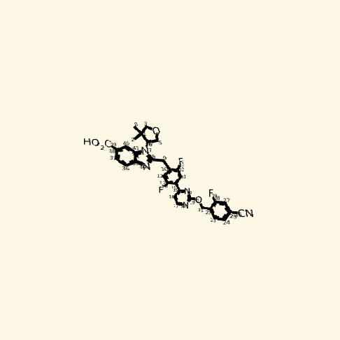 CC1(C)COC[C@H]1n1c(Cc2cc(F)c(-c3ccnc(OCc4ccc(C#N)cc4F)n3)cc2F)nc2ccc(C(=O)O)cc21